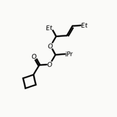 CC/C=C/C(CC)OC(OC(=O)C1CCC1)C(C)C